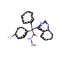 CONC(=O)C(c1ccccc1)(c1ccc(C(F)(F)F)cc1)c1ncnc2ccccc12